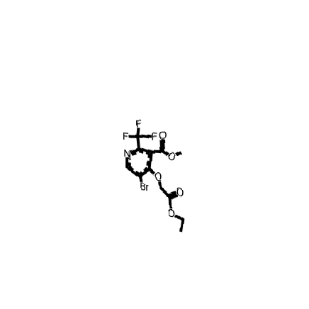 CCOC(=O)COc1c(Br)cnc(C(F)(F)F)c1C(=O)OC